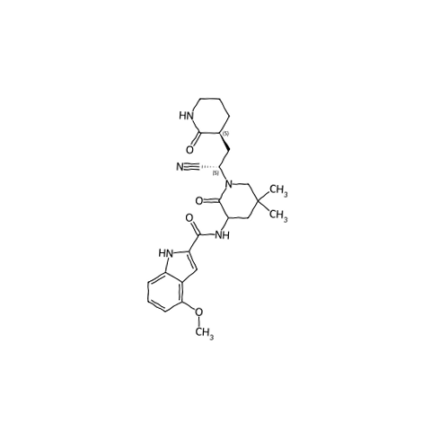 COc1cccc2[nH]c(C(=O)NC3CC(C)(C)CN([C@H](C#N)C[C@@H]4CCCNC4=O)C3=O)cc12